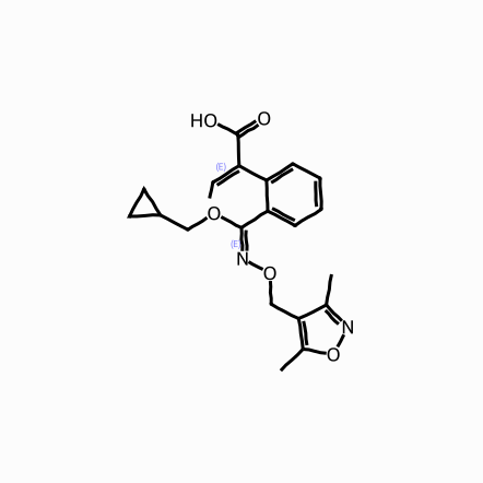 C/C=C(/C(=O)O)c1ccccc1/C(=N\OCc1c(C)noc1C)OCC1CC1